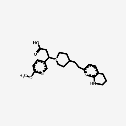 COc1ccc(C(CC(=O)O)N2CCC(CCc3ccc4c(n3)NCCC4)CC2)cn1